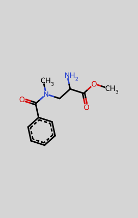 COC(=O)C(N)CN(C)C(=O)c1ccccc1